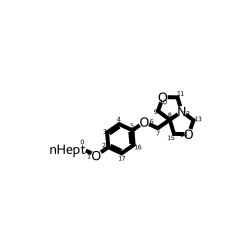 CCCCCCCOc1ccc(OCC23COCN2COC3)cc1